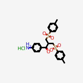 Cc1ccc(S(=O)(=O)CC(CS(=O)(=O)c2ccc(C)cc2)C(=O)c2ccc(N)cc2)cc1.Cl